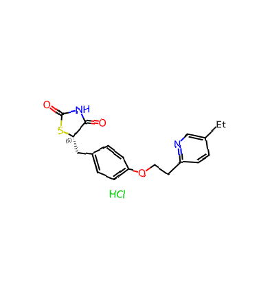 CCc1ccc(CCOc2ccc(C[C@@H]3SC(=O)NC3=O)cc2)nc1.Cl